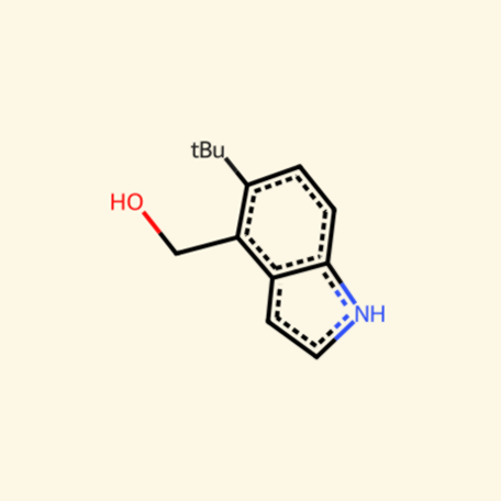 CC(C)(C)c1ccc2[nH]ccc2c1CO